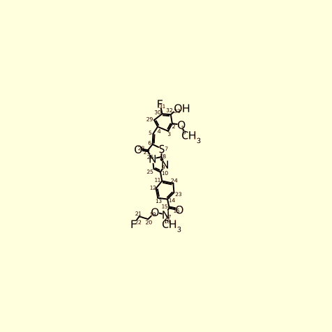 COc1cc(/C=c2\sc3nc(-c4ccc(C(=O)N(C)OCCF)cc4)cn3c2=O)cc(F)c1O